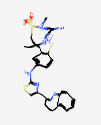 CN1C(=N)NC(C)(c2cc(Nc3nc(-c4ccc5ccccc5n4)cs3)ccc2F)CS1(=O)=O